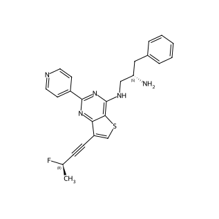 C[C@@H](F)C#Cc1csc2c(NC[C@@H](N)Cc3ccccc3)nc(-c3ccncc3)nc12